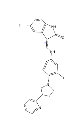 O=C1Nc2ccc(F)cc2/C1=C/Nc1ccc(N2CCC(c3ccccn3)C2)c(F)c1